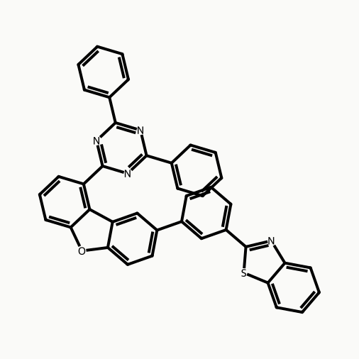 c1ccc(-c2nc(-c3ccccc3)nc(-c3cccc4oc5ccc(-c6cccc(-c7nc8ccccc8s7)c6)cc5c34)n2)cc1